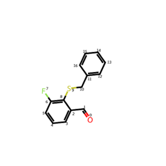 O=Cc1cccc(F)c1SCc1ccccc1